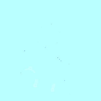 CCCc1ccc(Cn2cc(C(=O)OCC)c(=O)c3c(F)cccc32)cc1CC